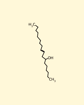 [CH2]CCCCCCCC=CCC(O)CCCCCC